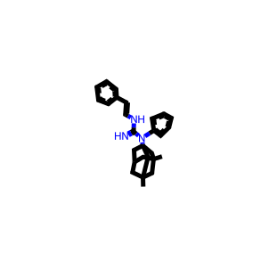 CC12CC3CC(C)(C1)CC(N(C(=N)N/C=C/c1ccccc1)c1ccccc1)(C3)C2